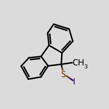 CC1(SI)c2ccccc2-c2ccccc21